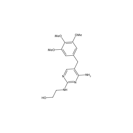 COc1cc(Cc2cnc(NCCO)nc2N)cc(OC)c1OC